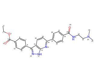 CCOC(=O)c1ccc(-c2n[nH]c3nc(-c4ccc(C(=O)NCCN(C)C)cc4)ccc23)cc1